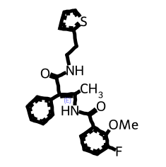 COc1c(F)cccc1C(=O)N/C(C)=C(/C(=O)NCCc1cccs1)c1ccccc1